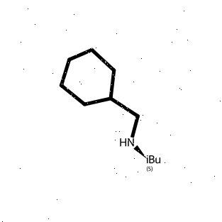 CC[C@H](C)NCC1CCCCC1